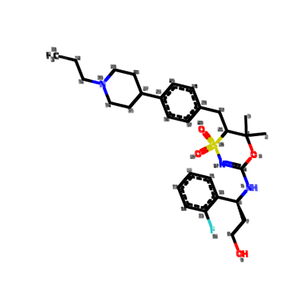 CC1(C)OC(N[C@@H](CCO)c2ccccc2F)=NS(=O)(=O)C1Cc1ccc(C2CCN(CCC(F)(F)F)CC2)cc1